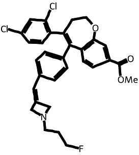 COC(=O)c1ccc2c(c1)OCCC(c1ccc(Cl)cc1Cl)=C2c1ccc(C=C2CN(CCCF)C2)cc1